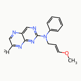 [2H]c1cnc2cnc(N(CC=COC)c3ccccc3)nc2n1